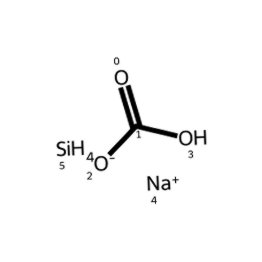 O=C([O-])O.[Na+].[SiH4]